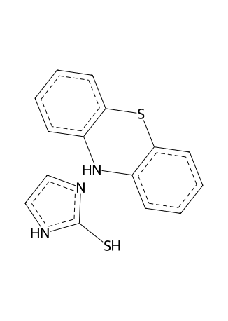 Sc1ncc[nH]1.c1ccc2c(c1)Nc1ccccc1S2